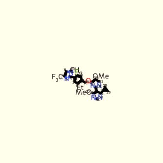 CCc1cc(-c2nc(C(F)(F)F)cn2C)c(F)cc1COc1nc(-c2c(OC)ncnc2C2CC2)ncc1OC